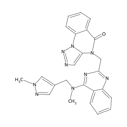 CN(Cc1cnn(C)c1)c1nc(Cn2c(=O)c3ccccc3n3nncc23)nc2ccccc12